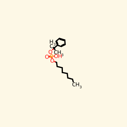 CCCCCCCCOP(=O)(O)OC(C)(C)c1ccccc1